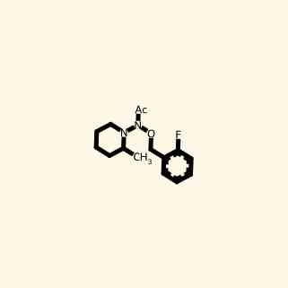 CC(=O)N(OCc1ccccc1F)N1CCCCC1C